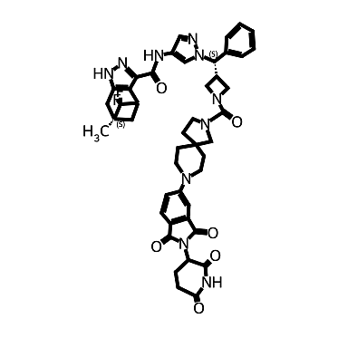 C[C@@]12Cc3[nH]nc(C(=O)Nc4cnn([C@H](c5ccccc5)C5CN(C(=O)N6CCC7(CCN(c8ccc9c(c8)C(=O)N(C8CCC(=O)NC8=O)C9=O)CC7)C6)C5)c4)c3C(C1)C2(F)F